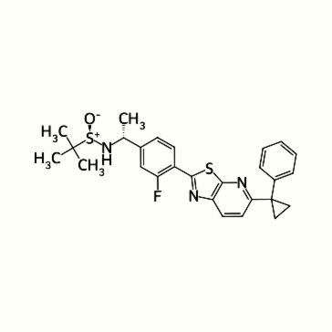 C[C@@H](N[S@+]([O-])C(C)(C)C)c1ccc(-c2nc3ccc(C4(c5ccccc5)CC4)nc3s2)c(F)c1